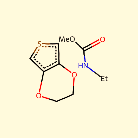 CCNC(=O)OC.c1scc2c1OCCO2